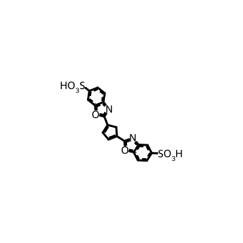 O=S(=O)(O)c1ccc2oc(C3=CC=C(c4nc5ccc(S(=O)(=O)O)cc5o4)C3)nc2c1